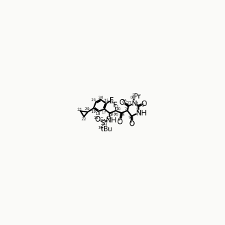 CC(C)N1C(=O)NC(=O)C(C(=O)[C@H](F)[C@@H](N[S@+]([O-])C(C)(C)C)c2cc(C3CC3)ccc2F)C1=O